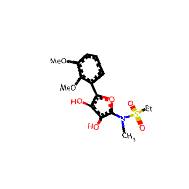 CCS(=O)(=O)N(C)c1oc(-c2cccc(OC)c2OC)c(O)c1O